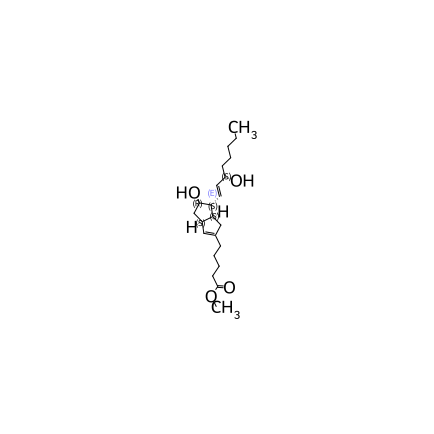 CCCCC[C@H](O)/C=C/[C@@H]1[C@H]2CC(CCCCC(=O)OC)=C[C@H]2C[C@H]1O